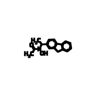 CC(=O)N(O)C(C)c1ccc2c(c1)Cc1ccccc1-2